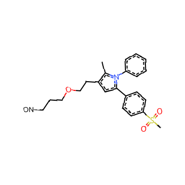 Cc1c(CCOCCCN=O)cc(-c2ccc(S(C)(=O)=O)cc2)n1-c1ccccc1